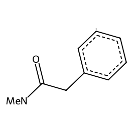 CNC(=O)Cc1c[c]ccc1